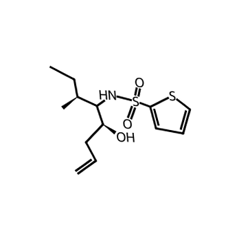 C=CC[C@H](O)C(NS(=O)(=O)c1cccs1)[C@@H](C)CC